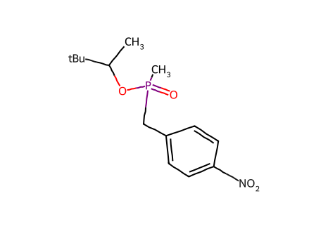 CC(OP(C)(=O)Cc1ccc([N+](=O)[O-])cc1)C(C)(C)C